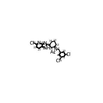 CC(=O)N(Cc1cc(Cl)cc(Cl)c1)[C@@H]1CCC[C@H](c2nc3nc(Cl)ccc3[nH]2)C1